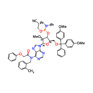 COc1ccc(C(OC[C@H]2O[C@@H](n3cnc4c(N(Cc5ccccc5C)C(=O)COc5ccccc5)ncnc43)[C@@H](OC)C2OP(OCCC#N)N(C(C)C)C(C)C)(c2ccccc2)c2ccc(OC)cc2)cc1